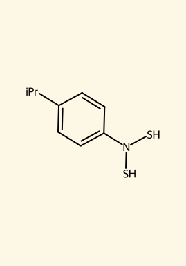 CC(C)c1ccc(N(S)S)cc1